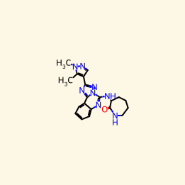 Cc1c(-c2nc3c4ccccc4nc(N[C@@H]4CCCCNC4=O)n3n2)cnn1C